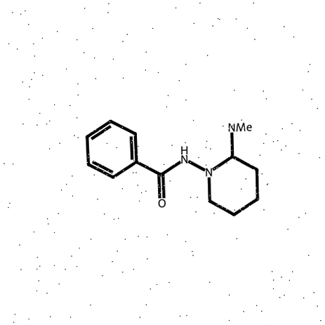 CNC1CCCCN1NC(=O)c1ccccc1